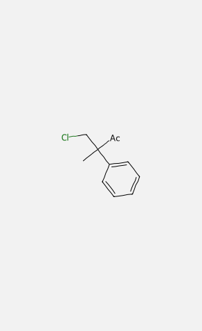 CC(=O)C(C)(CCl)c1ccccc1